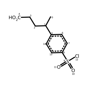 CC(CCC(=O)O)c1ccc(S(=O)(=O)Cl)cc1